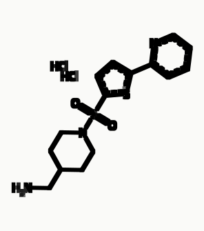 Cl.Cl.NCC1CCN(S(=O)(=O)c2ccc(-c3ccccn3)s2)CC1